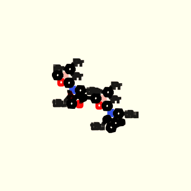 CC(C)c1cc(C(C)C)c(B2c3ccccc3Oc3cc(N4c5ccc(C(C)(C)C)cc5C5(c6ccccc6Oc6cc(-c7ccc8c(c7)Oc7cc(N9c%10ccc(C(C)(C)C)cc%10C%10(c%11ccccc%11-c%11ccccc%11%10)c%10cc(C(C)(C)C)ccc%109)ccc7B8c7c(C(C)C)cc(C(C)C)cc7C(C)C)ccc65)c5cc(C(C)(C)C)ccc54)ccc32)c(C(C)C)c1